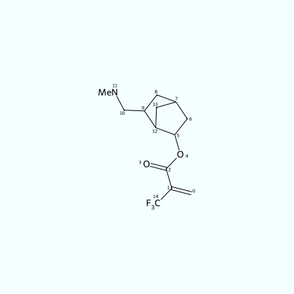 C=C(C(=O)OC1CC2CC(CNC)C1C2)C(F)(F)F